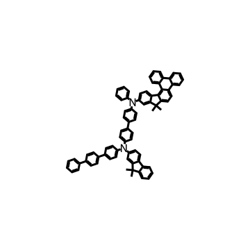 CC1(C)c2ccccc2-c2ccc(N(c3ccc(-c4ccc(-c5ccccc5)cc4)cc3)c3ccc(-c4ccc(N(c5ccccc5)c5ccc6c(c5)C(C)(C)c5ccc7c8ccccc8c8ccccc8c7c5-6)cc4)cc3)cc21